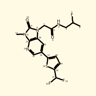 CC(F)CNC(=O)Cn1c(=O)n(C)c2ncc(-c3ccc(C(F)F)s3)cc21